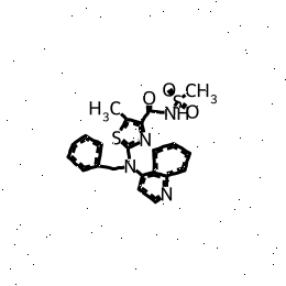 Cc1sc(N(Cc2ccccc2)c2ccnc3ccccc23)nc1C(=O)NS(C)(=O)=O